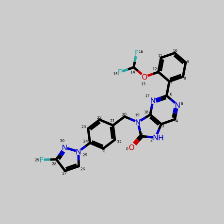 O=c1[nH]c2cnc(-c3ccccc3OC(F)F)nc2n1Cc1ccc(-n2ccc(F)n2)cc1